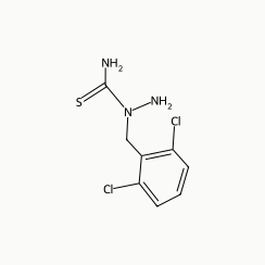 NC(=S)N(N)Cc1c(Cl)cccc1Cl